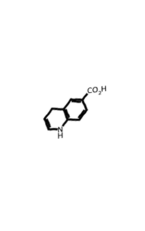 O=C(O)c1ccc2c(c1)CC=CN2